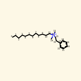 CCCCCCCCCCCC[N+](C)(C)CCc1ccccc1